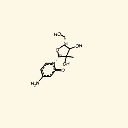 CC1(O)C(O)[C@@H](CO)O[C@H]1n1ccc(N)cc1=O